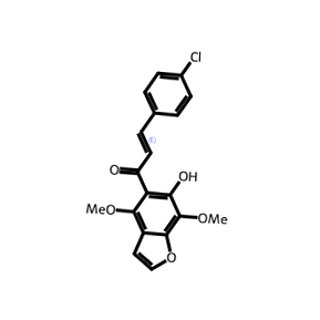 COc1c(C(=O)/C=C/c2ccc(Cl)cc2)c(O)c(OC)c2occc12